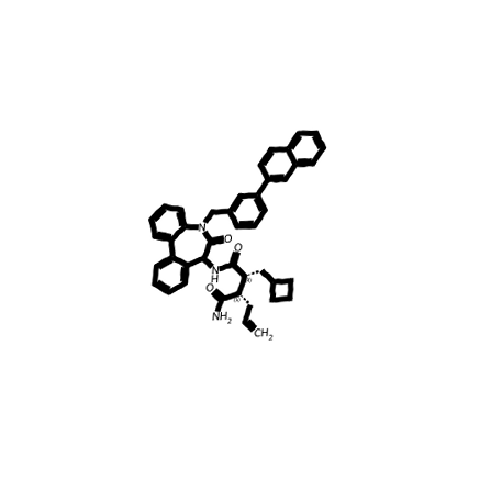 C=CC[C@H](C(N)=O)[C@@H](CC1CCC1)C(=O)NC1C(=O)N(Cc2cccc(-c3ccc4ccccc4c3)c2)c2ccccc2-c2ccccc21